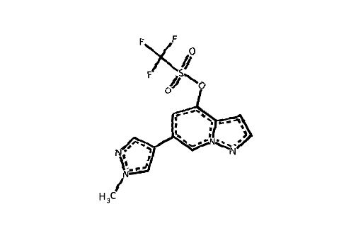 Cn1cc(-c2cc(OS(=O)(=O)C(F)(F)F)c3ccnn3c2)cn1